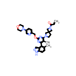 C=CC(=O)N1CC2(CCN(c3nc(OCc4ccc(N5CCOCC5)cn4)nc(-c4c(C)ccc5[nH]ncc45)c3C#N)C2)C1